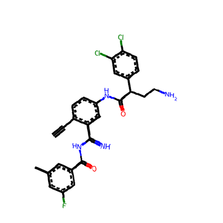 C#Cc1ccc(NC(=O)C(CCN)c2ccc(Cl)c(Cl)c2)cc1C(=N)NC(=O)c1cc(C)cc(F)c1